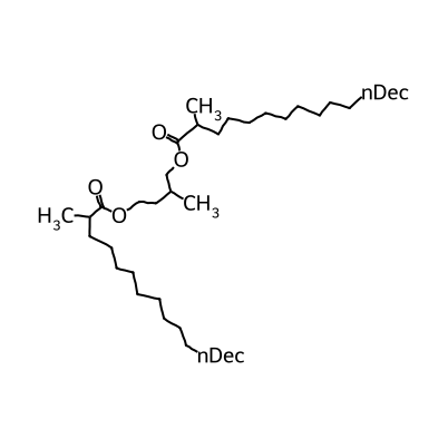 CCCCCCCCCCCCCCCCCCCC(C)C(=O)OCCC(C)COC(=O)C(C)CCCCCCCCCCCCCCCCCCC